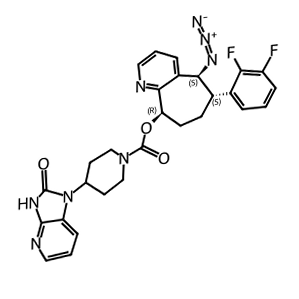 [N-]=[N+]=N[C@@H]1c2cccnc2[C@H](OC(=O)N2CCC(n3c(=O)[nH]c4ncccc43)CC2)CC[C@H]1c1cccc(F)c1F